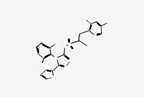 COc1cccc(OC)c1-n1c(NS(=O)(=O)C(C)Cc2ncc(F)cc2C#N)nnc1-c1ccco1